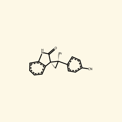 CC(C)[C@]1(c2ccc(C#N)cc2)C[C@]12C(=O)Nc1ccccc12